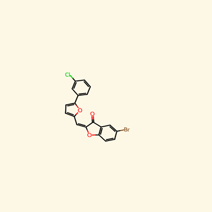 O=C1C(=Cc2ccc(-c3cccc(Cl)c3)o2)Oc2ccc(Br)cc21